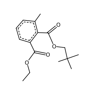 CCOC(=O)c1cccc(C)c1C(=O)OCC(C)(C)C